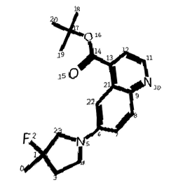 CC1(F)CCN(c2ccc3nccc(C(=O)OC(C)(C)C)c3c2)C1